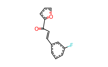 O=C(/C=C/c1cccc(F)c1)c1ccco1